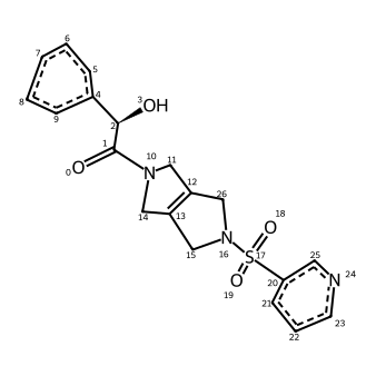 O=C([C@H](O)c1ccccc1)N1CC2=C(C1)CN(S(=O)(=O)c1cccnc1)C2